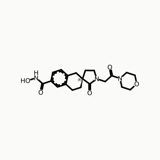 O=C(NO)c1ccc2c(c1)CC[C@]1(CCN(CC(=O)N3CCOCC3)C1=O)C2